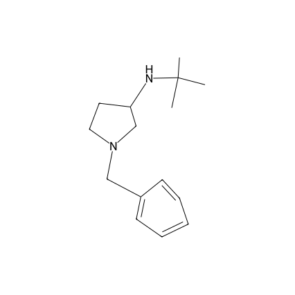 CC(C)(C)NC1CCN(Cc2ccccc2)C1